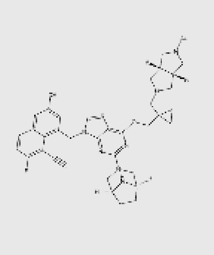 C#Cc1c(F)ccc2cc(O)cc(Cn3cnc4c(OCC5(CN6C[C@@H]7CN(C(C)=O)C[C@@H]7C6)CC5)nc(N5C[C@H]6CC[C@@H](C5)N6)nc43)c12